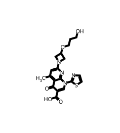 Cc1cc(N2CC(OCCCO)C2)nc2c1c(=O)c(C(=O)O)cn2-c1nccs1